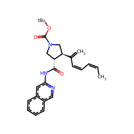 C=C(/C=C\C=C/C)[C@@H]1CN(C(=O)OC(C)(C)C)C[C@H]1C(=O)Nc1cc2ccccc2cn1